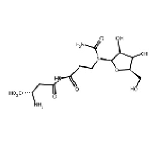 NC(=O)N(CCC(=O)NC(=O)C[C@H](N)C(=O)O)[C@@H]1O[C@H](CO)C(O)C1O